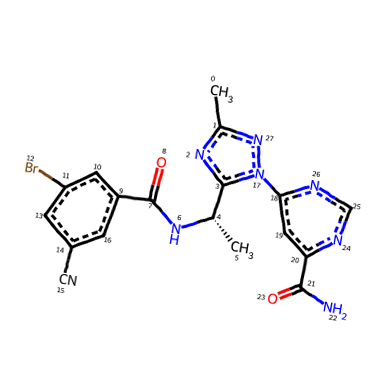 Cc1nc([C@H](C)NC(=O)c2cc(Br)cc(C#N)c2)n(-c2cc(C(N)=O)ncn2)n1